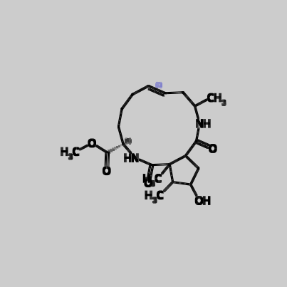 COC(=O)[C@@H]1CCC/C=C/CC(C)NC(=O)C2CC(O)C(C)C2(C)C(=O)N1